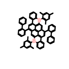 Cc1cc(C)c(B2c3ccccc3-c3cc(-c4ccccc4-c4ccccc4)c4cc5c6c(cc(-c7ccccc7-c7ccccc7)c7cc2c3c4c76)-c2ccccc2B5c2c(C)cc(C)cc2C)c(C)c1